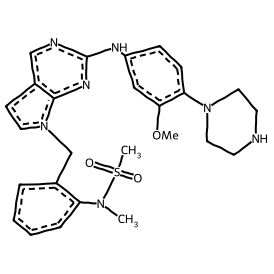 COc1cc(Nc2ncc3ccn(Cc4ccccc4N(C)S(C)(=O)=O)c3n2)ccc1N1CCNCC1